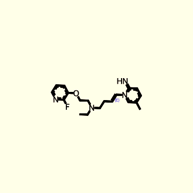 CCN(CC/C=C/n1cc(C)ccc1=N)CCOc1cccnc1F